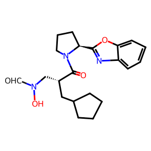 O=CN(O)C[C@@H](CC1CCCC1)C(=O)N1CCC[C@H]1c1nc2ccccc2o1